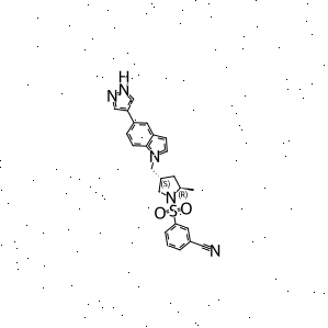 C[C@@H]1C[C@@H](Cn2ccc3cc(-c4cn[nH]c4)ccc32)CN1S(=O)(=O)c1cccc(C#N)c1